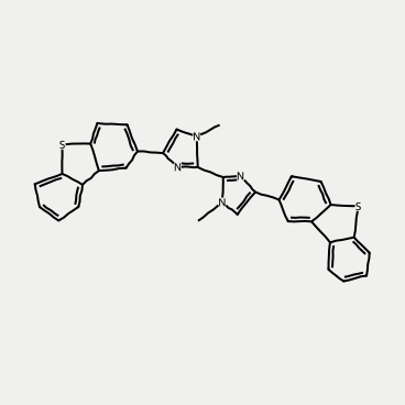 Cn1cc(-c2ccc3sc4ccccc4c3c2)nc1-c1nc(-c2ccc3sc4ccccc4c3c2)cn1C